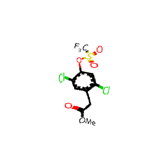 COC(=O)Cc1cc(Cl)c(OS(=O)(=O)C(F)(F)F)cc1Cl